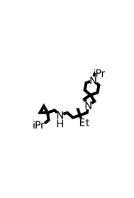 CCC(C)(CCNCC1(CC(C)C)CC1)CN1CC2(CCN(C(C)C)CC2)C1